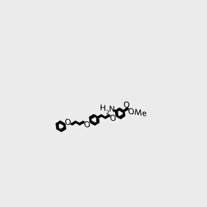 COC(=O)c1ccc(OCCCc2ccc(OCCCCOc3ccccc3)cc2)c(N)c1